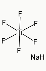 [F][Ti]([F])([F])([F])([F])[F].[NaH]